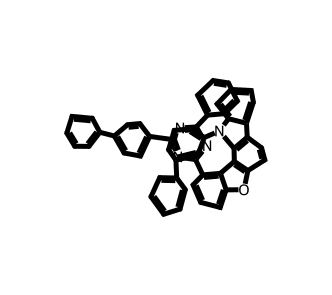 c1ccc(-c2ccc(-c3nc(-c4ccccc4)nc(-c4cccc5oc6ccc7c8ccccc8n(-c8cccc(-c9ccccc9)c8)c7c6c45)n3)cc2)cc1